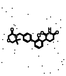 CC1(C)COCC(=O)N1Cc1ccc(-c2cccc(C3CCC(=O)NC3=O)c2Cl)cc1